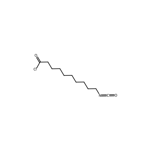 O=C=NCCCCCCCCCC(=O)Cl